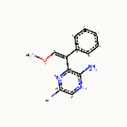 CO/C=C(/c1ccccc1)c1nc(I)cnc1N